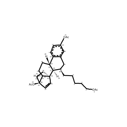 CC(=O)OCCCCC[C@@H]1Cc2cc(OC(C)=O)ccc2[C@H]2CC[C@@]3(C)[C@]4(C=C[C@]3(OC(C)=O)CC4)[C@H]12